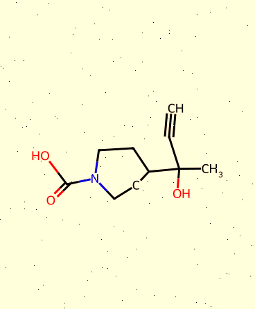 C#CC(C)(O)C1CCN(C(=O)O)CC1